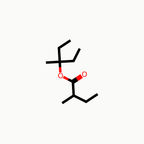 CCC(C)C(=O)OC(C)(CC)CC